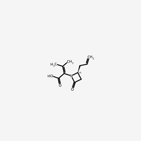 C=CC[C@H]1CC(=O)N1C(C(=O)O)=C(C)C